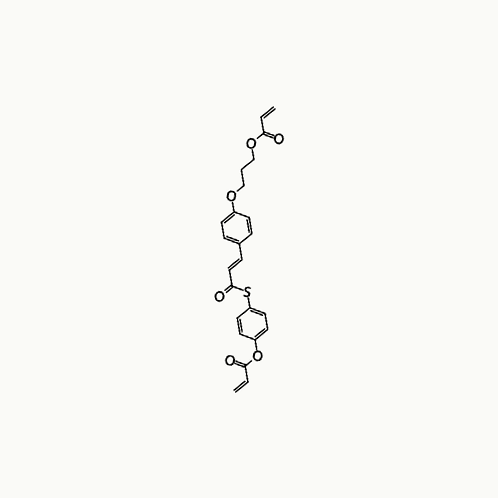 C=CC(=O)OCCCOc1ccc(/C=C/C(=O)Sc2ccc(OC(=O)C=C)cc2)cc1